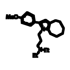 CCN(CC)CCCn1c(-c2ccc(OC)cc2)cc2c1CCCCCC2